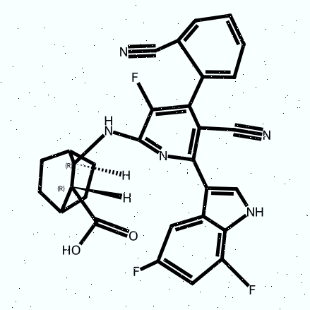 N#Cc1ccccc1-c1c(F)c(N[C@@H]2C3CCC(CC3)[C@H]2C(=O)O)nc(-c2c[nH]c3c(F)cc(F)cc23)c1C#N